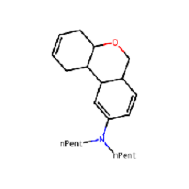 CCCCCN(CCCCC)C1=CC2C(C=C1)COC1CC=CCC12